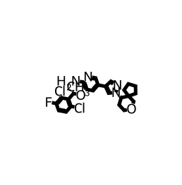 C[C@@H](Oc1cc(-c2cnn(C3CCOCC34CCCC4)c2)cnc1N)c1c(Cl)ccc(F)c1Cl